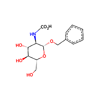 O=C(O)N[C@H]1[C@H](OCc2ccccc2)O[C@H](CO)[C@@H](O)[C@@H]1O